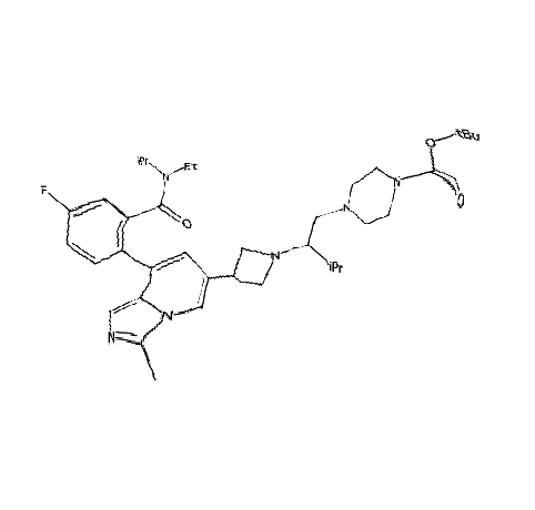 CCN(C(=O)c1cc(F)ccc1-c1cc(C2CN(C(CN3CCN(C(=O)OC(C)(C)C)CC3)C(C)C)C2)cn2c(C)ncc12)C(C)C